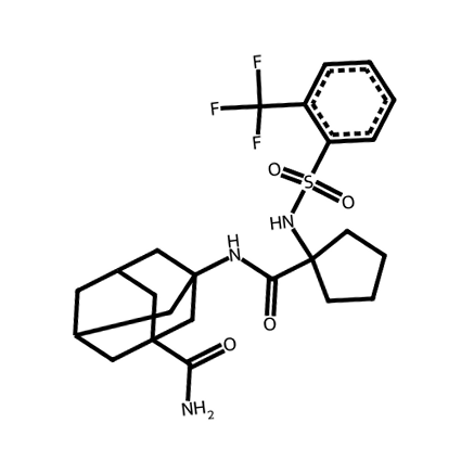 NC(=O)C12CC3CC(CC(NC(=O)C4(NS(=O)(=O)c5ccccc5C(F)(F)F)CCCC4)(C3)C1)C2